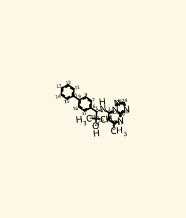 Cc1cc(N[C@H](c2ccc(-c3ccccc3)cc2)C(C)(C)O)n2ncnc2n1